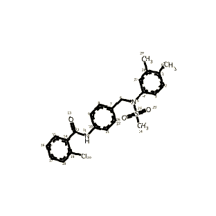 Cc1ccc(N(Cc2ccc(NC(=O)c3ccccc3Cl)cc2)S(C)(=O)=O)cc1C